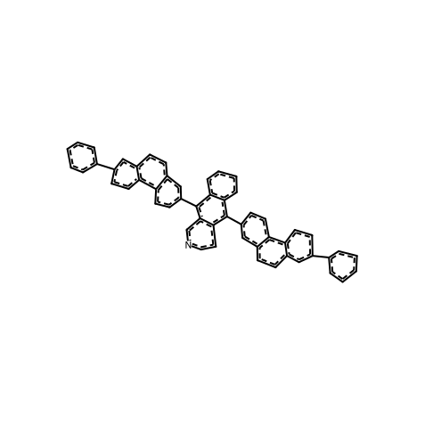 c1ccc(-c2ccc3c(ccc4cc(-c5c6ccccc6c(-c6ccc7c(ccc8cc(-c9ccccc9)ccc87)c6)c6cnccc56)ccc43)c2)cc1